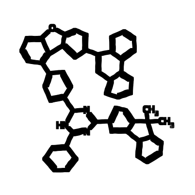 CC1(C)c2ccccc2-c2cc(C3=NC(c4ccc(-c5cccc6oc7ccc(-c8cc9ccccc9c9ccccc89)cc7c56)cc4)NC(c4ccccc4)=N3)ccc21